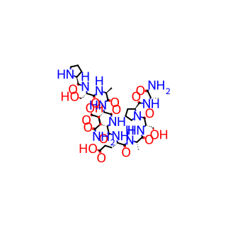 C[C@H](NC(=O)[C@@H]1CCCN1C(=O)[C@H](CO)NC(=O)[C@H](C)NC(=O)[C@H](CCC(=O)O)NC(=O)[C@H](CCC(=O)O)NC(=O)[C@H](CCC(N)=O)NC(=O)[C@H](C)NC(=O)[C@H](CO)NC(=O)[C@@H]1CCCN1)C(N)=O